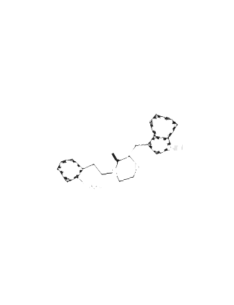 COc1ccccc1CCN1CCN[C@H](Cc2c[nH]c3ccccc23)C1=O